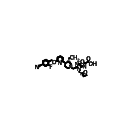 C=C[C@@H]1CN(Cc2nc3oc(C(=O)O)nc3n2C[C@@H]2CCO2)CCC1c1cccc(OCc2ccc(C#N)cc2F)n1